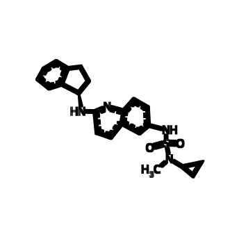 CN(C1CC1)S(=O)(=O)Nc1ccc2nc(N[C@@H]3CCc4ccccc43)ccc2c1